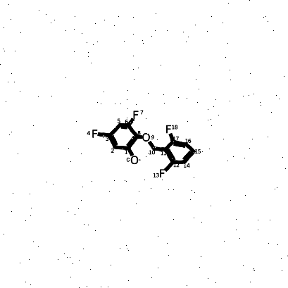 [O]c1cc(F)cc(F)c1OCc1c(F)cccc1F